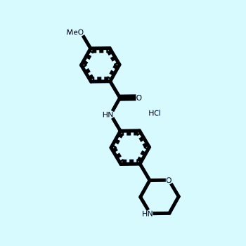 COc1ccc(C(=O)Nc2ccc(C3CNCCO3)cc2)cc1.Cl